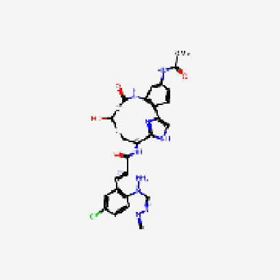 C=N/N=C\N(N)c1ccc(Cl)cc1/C=C/C(=O)N[C@H]1CCC(O)CC(=O)Nc2cc(NC(=O)OC)ccc2-c2c[nH]c1n2